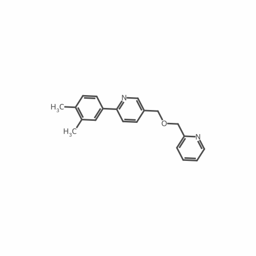 Cc1ccc(-c2ccc(COCc3ccccn3)cn2)cc1C